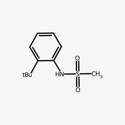 CC(C)(C)c1cc[c]cc1NS(C)(=O)=O